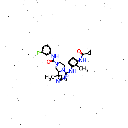 Cc1c(NC(=O)C2CC2)cccc1N/C(=N/C#N)N1CCN(C(=O)Nc2cccc(F)c2)CC1C(C)C